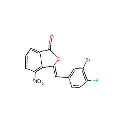 O=C1O/C(=C\c2ccc(F)c(Br)c2)c2c1cccc2[N+](=O)[O-]